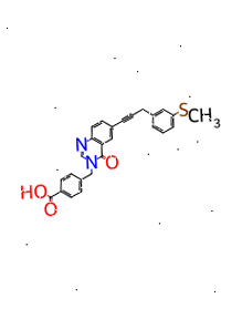 CSc1cccc(CC#Cc2ccc3ncn(Cc4ccc(C(=O)O)cc4)c(=O)c3c2)c1